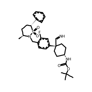 C[C@H]1CC[C@H](c2ccccc2)S(=O)(=O)N1Cc1ccc([C@]2(C=N)CC[C@@H](NC(=O)OC(C)(C)C)CC2)cc1F